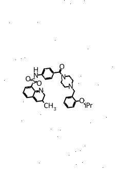 CC1C=c2cccc(S(=O)(=O)Nc3ccc(C(=O)N4CCN(Cc5ccccc5OC(C)C)CC4)cc3)c2=NC1